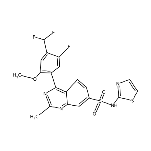 COc1cc(C(F)F)c(F)cc1-c1nc(C)nc2cc(S(=O)(=O)Nc3nccs3)ccc12